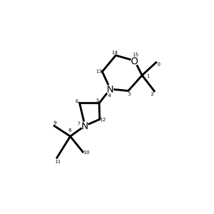 CC1(C)CN(C2CN(C(C)(C)C)C2)CCO1